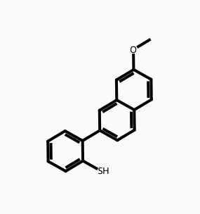 COc1ccc2ccc(-c3ccccc3S)cc2c1